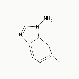 CC1=CC=C2N=CN(N)C2C1